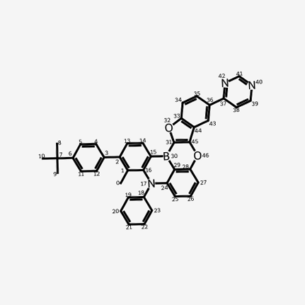 Cc1c(-c2ccc(C(C)(C)C)cc2)ccc2c1N(c1ccccc1)c1cccc3c1B2c1oc2ccc(-c4ccncn4)cc2c1O3